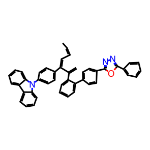 C=C(/C(=C\C=C/C)c1ccc(-n2c3ccccc3c3ccccc32)cc1)c1ccccc1-c1ccc(-c2nnc(-c3ccccc3)o2)cc1